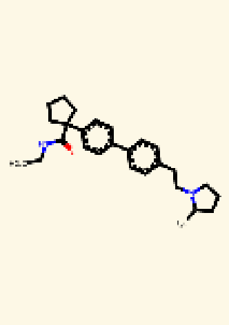 CC1CCCN1CCc1ccc(-c2ccc(C3(C(=O)NCC(=O)O)CCCC3)cc2)cc1